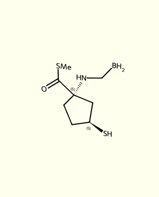 BCN[C@@]1(C(=O)SC)CC[C@H](S)C1